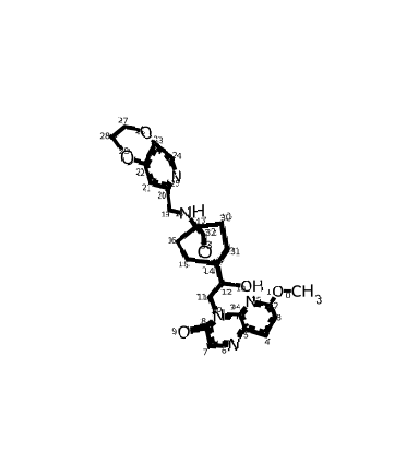 COc1ccc2ncc(=O)n(CC(O)C34CCC(NCc5cc6c(cn5)OCCO6)(CC3)CO4)c2n1